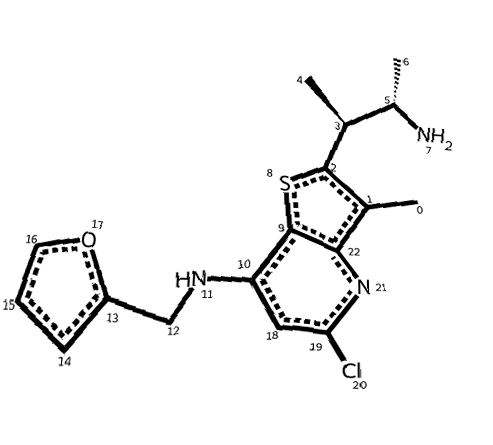 Cc1c([C@@H](C)[C@H](C)N)sc2c(NCc3ccco3)cc(Cl)nc12